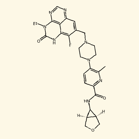 CCN1C(=O)Nc2c(F)c(CN3CCN(c4ccc(C(=O)NC5[C@H]6COC[C@@H]56)nc4C)CC3)cc3ncnc1c23